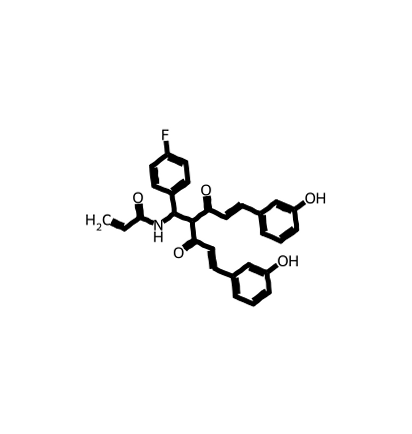 C=CC(=O)NC(c1ccc(F)cc1)C(C(=O)C=Cc1cccc(O)c1)C(=O)C=Cc1cccc(O)c1